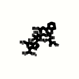 COC(=O)CCc1ccccc1OP(=O)(N[C@@H](C)C(=O)OC(C)C)OC[C@H]1O[C@@H](n2cnc3c(N(C)C)nc(N)nc32)[C@](C)(F)[C@@H]1O